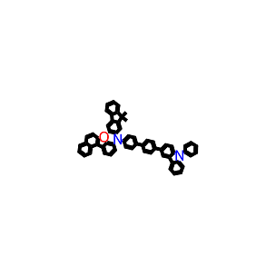 CC1(C)c2ccccc2-c2ccc(N(c3ccc(-c4ccc(-c5ccc6c(c5)c5ccccc5n6-c5ccccc5)cc4)cc3)c3cccc4c3oc3ccc5ccccc5c34)cc21